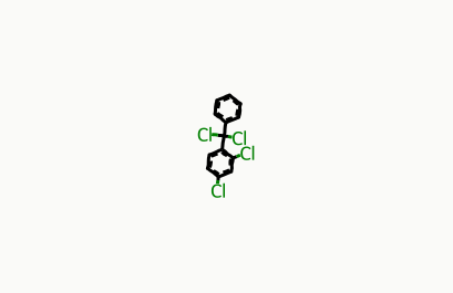 Clc1ccc(C(Cl)(Cl)c2ccccc2)c(Cl)c1